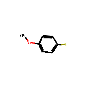 CCCOc1ccc([S])cc1